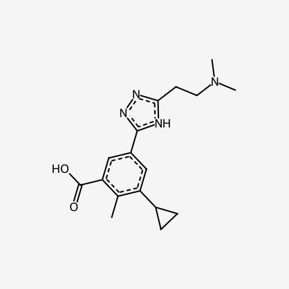 Cc1c(C(=O)O)cc(-c2nnc(CCN(C)C)[nH]2)cc1C1CC1